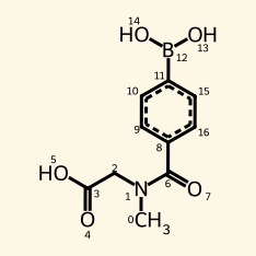 CN(CC(=O)O)C(=O)c1ccc(B(O)O)cc1